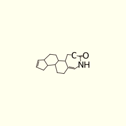 O=C1CCC2C(=CN1)CCC1C3CC=CC3CCC21